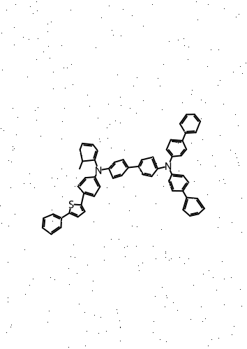 CC1CC=CC=C1N(c1ccc(-c2ccc(N(c3ccc(-c4ccccc4)cc3)c3ccc(-c4ccccc4)cc3)cc2)cc1)c1ccc(-c2ccc(-c3ccccc3)s2)cc1